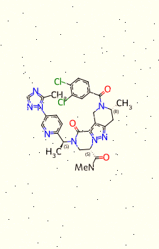 CNC(=O)[C@@H]1CN([C@@H](C)c2ccc(-n3ncnc3C)cn2)C(=O)c2c3c(nn21)C[C@@H](C)N(C(=O)c1ccc(Cl)c(Cl)c1)C3